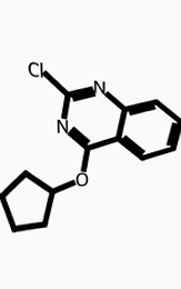 Clc1nc(OC2CCCC2)c2ccccc2n1